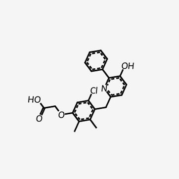 Cc1c(OCC(=O)O)cc(Cl)c(Cc2ccc(O)c(-c3ccccc3)n2)c1C